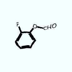 O=COc1ccccc1F